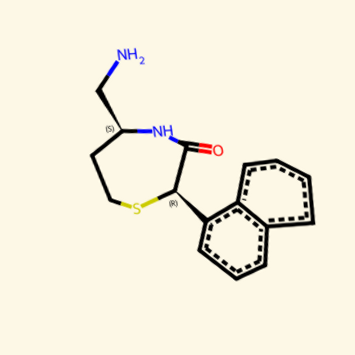 NC[C@@H]1CCS[C@H](c2cccc3ccccc23)C(=O)N1